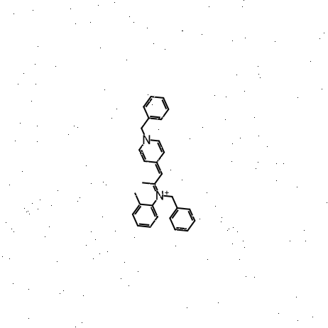 C/C(C=C1C=CN(Cc2ccccc2)C=C1)=[N+](/Cc1ccccc1)c1ccccc1C